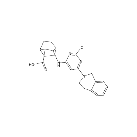 O=C(O)C1C2CCC(CC2)C1Nc1cc(N2CCc3ccccc3C2)nc(Cl)n1